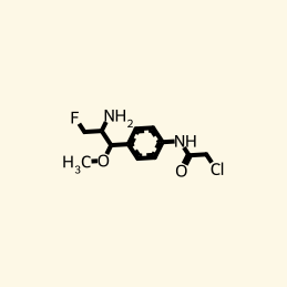 COC(c1ccc(NC(=O)CCl)cc1)C(N)CF